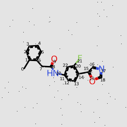 Cc1ccccc1CC(=O)Nc1ccc(-c2cnco2)c(F)c1